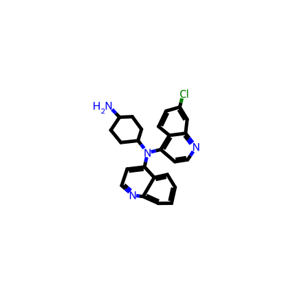 NC1CCC(N(c2ccnc3ccccc23)c2ccnc3cc(Cl)ccc23)CC1